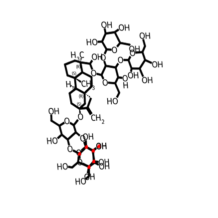 C=C1C[C@@]23CCC4[C@](C)(C(O)OC5OC(CO)C(O)C(OC6OC(CO)C(O)C(O)C6O)C5OC5OC(CO)C(O)C(O)C5O)CCC[C@@]4(C)[C@@H]2CC[C@]1(OC1OC(CO)C(O)C(OC2OC(CO)C(O)C(O)C2O)C1OC1OC(CO)C(O)C(O)C1O)C3